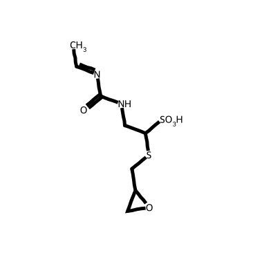 CC=NC(=O)NCC(SCC1CO1)S(=O)(=O)O